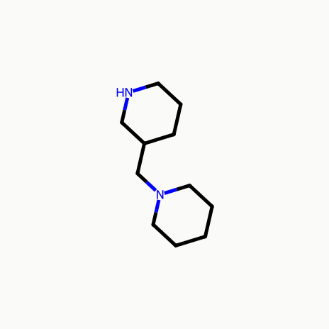 C1CCN(CC2CCCNC2)CC1